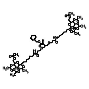 CC(=O)NC1C(OCCCCCCNC(=O)CCOCC(COCCC(=O)NCCCCCCOC2OC(COC(C)=O)C(OC(C)=O)C(OC(C)=O)C2NC(C)=O)NC(=O)OCc2ccccc2)OC(COC(C)=O)C(OC(C)=O)C1OC(C)=O